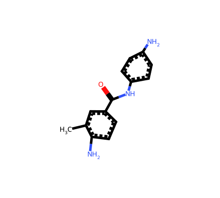 Cc1cc(C(=O)Nc2ccc(N)cc2)ccc1N